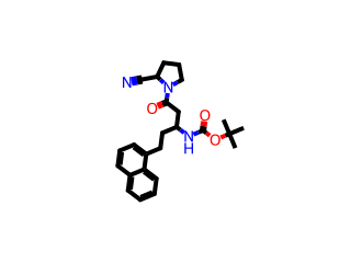 CC(C)(C)OC(=O)NC(CCc1cccc2ccccc12)CC(=O)N1CCCC1C#N